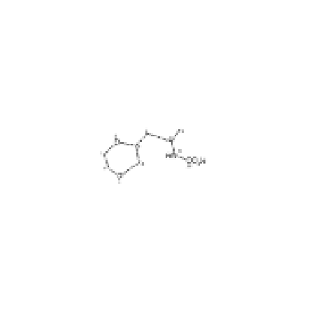 CC(CC1COCCO1)NC(=O)O